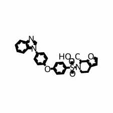 O=C(O)C1c2occc2CCN1S(=O)(=O)c1ccc(Oc2ccc(-n3cnc4ccccc43)cc2)cc1